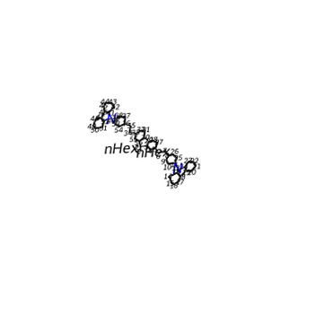 CCCCCCC1(CCCCCC)c2cc(/C=C/c3ccc(-n4c5ccccc5c5ccccc54)cc3)ccc2-c2ccc(/C=C/c3ccc(-n4c5ccccc5c5ccccc54)cc3)cc21